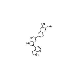 CNC(=O)C(C#N)=Cc1cccc(-c2cnc3[nH]cc(-c4ccnc5[nH]ccc45)c3c2)c1